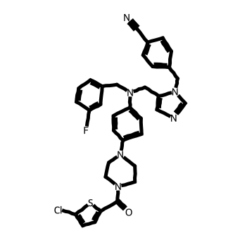 N#Cc1ccc(Cn2cncc2CN(Cc2cccc(F)c2)c2ccc(N3CCN(C(=O)c4ccc(Cl)s4)CC3)cc2)cc1